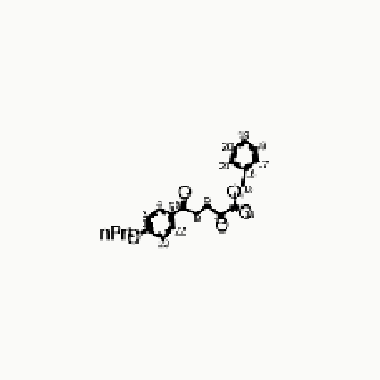 CCCOc1ccc(C(=O)CCC(=O)C(=O)OCc2ccccc2)cc1